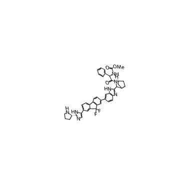 COC(=O)N[C@@H](C(=O)N1C(c2nc3ccc(-c4ccc5c(c4)C(F)(F)c4cc(-c6cnc([C@@H]7CCCN7)[nH]6)ccc4-5)cc3[nH]2)C2CC[C@H]1C2)c1ccccc1